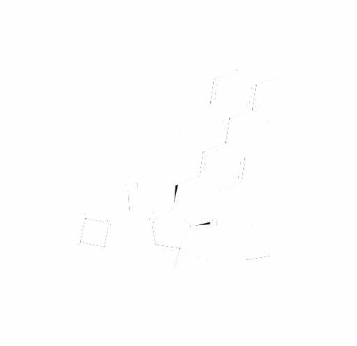 CCS(=O)(=O)N[C@@H]1[C@H](Cc2cccc(-c3cccc(C)c3F)c2F)N(C(O)N2CCC2)CC1(F)F